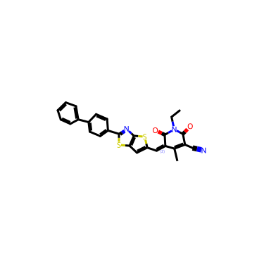 CCN1C(=O)C(C#N)=C(C)/C(=C/c2cc3sc(-c4ccc(-c5ccccc5)cc4)nc3s2)C1=O